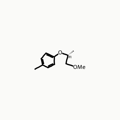 COC[C@@H](C)Oc1ccc(C)cc1